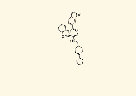 COc1ccccc1N(CC(=O)NCC1CCN(C2CCCC2)CC1)C(=O)c1ccc2cc[nH]c2c1